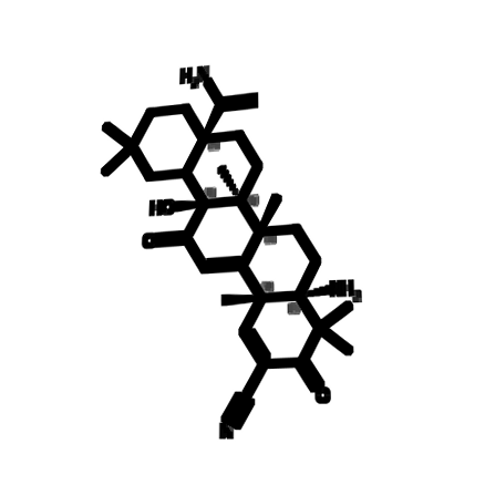 C=C(N)[C@]12CCC(C)(C)CC1[C@@]1(O)C(=O)C=C3[C@@]4(C)C=C(C#N)C(=O)C(C)(C)[C@]4(N)CC[C@@]3(C)[C@]1(C)CC2